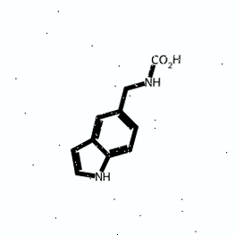 O=C(O)NCc1ccc2[nH]ccc2c1